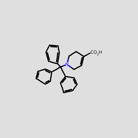 O=C(O)C1=CCN(C(c2ccccc2)(c2ccccc2)c2ccccc2)CC1